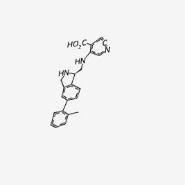 Cc1ccccc1-c1ccc2c(c1)CN[C@H]2CNc1cnccc1C(=O)O